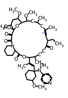 CCC1/C=C(\C)CC(C)CC(OC)C2OC(O)(C(=O)C(=O)N3CCCCC3C(=O)OC(C(C)=CC3(N(C)c4ccncc4)CCCC(OC)C3)C(C)CCC1=O)C(C)CC2OC